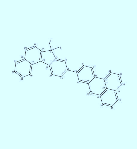 CC1(C)c2cc(-c3ccc4c(c3)Oc3cccc5cccc-4c35)ccc2-c2c1ccc1ccccc21